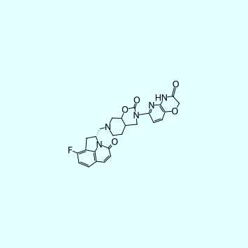 O=C1COc2ccc(N3CC4CCN(C[C@H]5Cc6c(F)ccc7ccc(=O)n5c67)CC4OC3=O)nc2N1